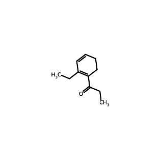 CCC(=O)C1=C(CC)C=CCC1